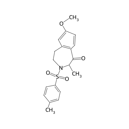 COc1ccc2c(c1)CCN(S(=O)(=O)c1ccc(C)cc1)C(C)C2=O